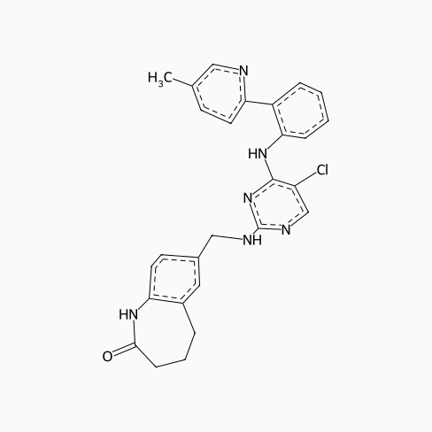 Cc1ccc(-c2ccccc2Nc2nc(NCc3ccc4c(c3)CCCC(=O)N4)ncc2Cl)nc1